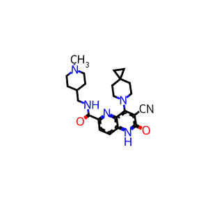 CN1CCC(CNC(=O)c2ccc3[nH]c(=O)c(C#N)c(N4CCC5(CC4)CC5)c3n2)CC1